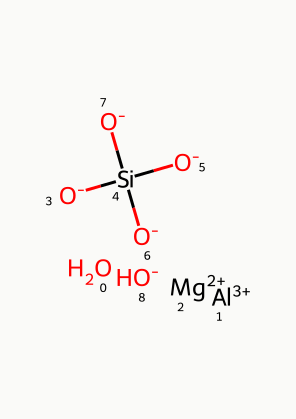 O.[Al+3].[Mg+2].[O-][Si]([O-])([O-])[O-].[OH-]